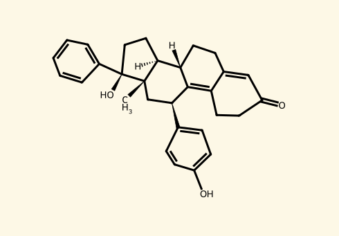 C[C@]12C[C@H](c3ccc(O)cc3)C3=C4CCC(=O)C=C4CC[C@H]3[C@@H]1CC[C@@]2(O)c1ccccc1